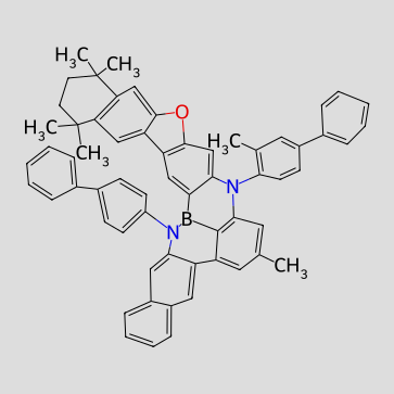 Cc1cc2c3c(c1)N(c1ccc(-c4ccccc4)cc1C)c1cc4oc5cc6c(cc5c4cc1B3N(c1ccc(-c3ccccc3)cc1)c1cc3ccccc3cc1-2)C(C)(C)CCC6(C)C